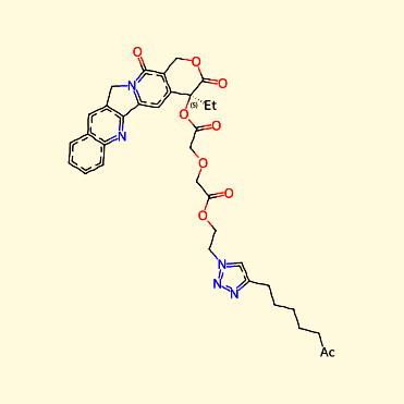 CC[C@@]1(OC(=O)COCC(=O)OCCn2cc(CCCCCC(C)=O)nn2)C(=O)OCc2c1cc1n(c2=O)Cc2cc3ccccc3nc2-1